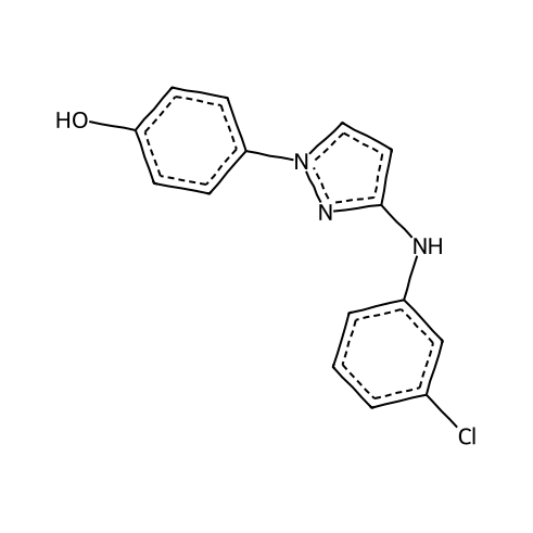 Oc1ccc(-n2ccc(Nc3cccc(Cl)c3)n2)cc1